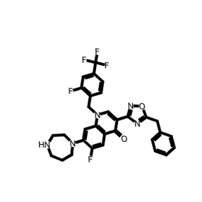 O=c1c(-c2noc(Cc3ccccc3)n2)cn(Cc2ccc(C(F)(F)F)cc2F)c2cc(N3CCCNCC3)c(F)cc12